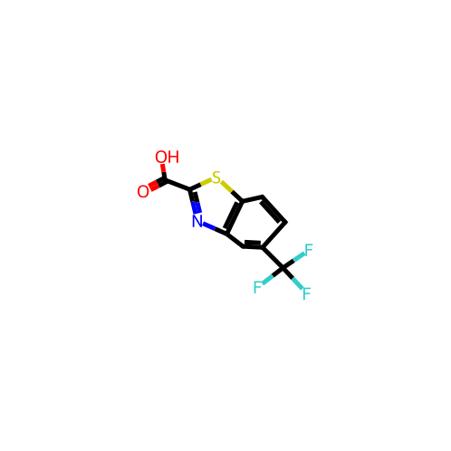 O=C(O)c1nc2cc(C(F)(F)F)ccc2s1